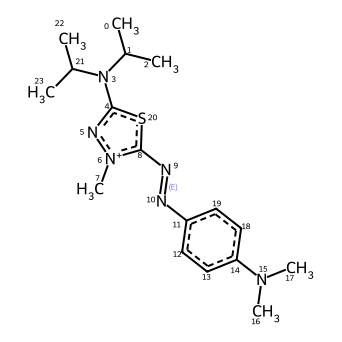 CC(C)N(c1n[n+](C)c(/N=N/c2ccc(N(C)C)cc2)s1)C(C)C